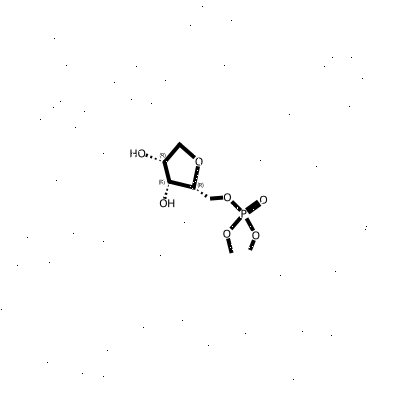 COP(=O)(OC)OC[C@H]1OC[C@@H](O)[C@H]1O